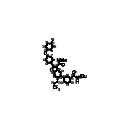 CNC(=O)c1c(-c2ccc(Oc3ccc(C)cc3)cc2)oc2nc(CCC(F)(F)F)c(-c3cccc(C(=O)NC(C)(C)C)c3)cc12